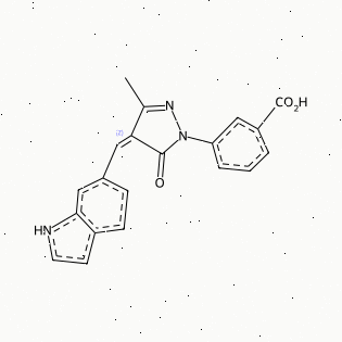 CC1=NN(c2cccc(C(=O)O)c2)C(=O)/C1=C\c1ccc2cc[nH]c2c1